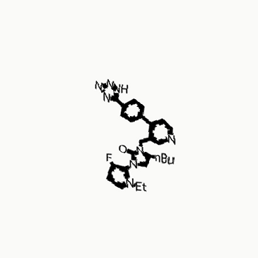 CCCCc1cn(-c2c(F)ccn2CC)c(=O)n1Cc1cnccc1-c1ccc(-c2nnn[nH]2)cc1